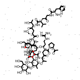 CC(=O)[C@@H]1CCCN1C(=O)[C@H](CCCNC(=N)N)CC(=O)[C@@H](NC(=O)[C@H](CC(=O)O)CC(=O)[C@@H]1CCCN1C(=O)[C@H](C)NC(=O)[C@H](CO)CC(=O)[C@@H](NC(=O)[C@@H](CC(=O)CNC(=O)[C@@H](N)Cc1cnc[nH]1)C(C)C)C(C)O)C(C)O[C@H]1OC(CO[C@]2(C(=O)O)C[C@@H](O)[C@@H](C)C([C@H](O)[C@H](O)CO)O2)[C@H](O)[C@H](O[C@@H]2OC(CO)[C@H](O)[C@H](O)C2O)C1C